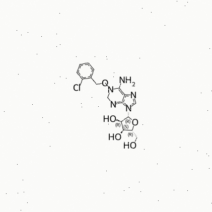 NC1=c2ncn([C@@H]3O[C@H](CO)[C@@H](O)[C@H]3O)c2=NCN1OCc1ccccc1Cl